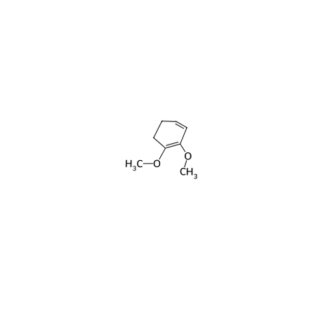 COC1=C(OC)CCC=C1